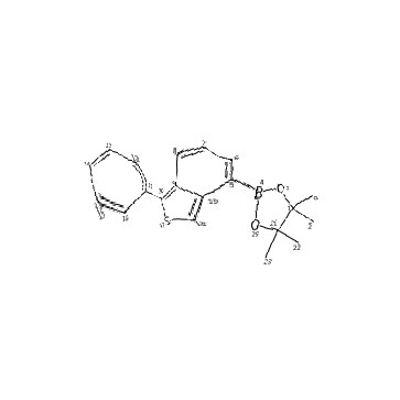 CC1(C)OB(c2cccc3c(-c4ccccc4)scc23)OC1(C)C